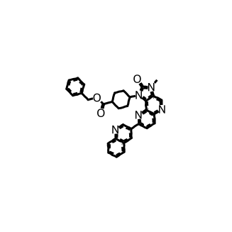 Cn1c(=O)n(C2CCC(C(=O)OCc3ccccc3)CC2)c2c3nc(-c4cnc5ccccc5c4)ccc3ncc21